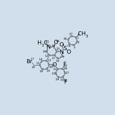 Cc1ccc(S(=O)(=O)n2ccc3c(-c4cc(CBr)ccc4Oc4ccc(F)cc4F)cn(C)c(=O)c32)cc1